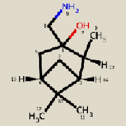 C[C@@H]1[C@H]2C[C@@H](CC1(O)CN)C2(C)C